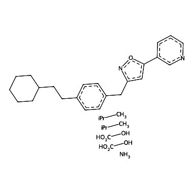 CC(C)C.CC(C)C.N.O=C(O)O.O=C(O)O.c1cncc(-c2cc(Cc3ccc(CCC4CCCCC4)cc3)no2)c1